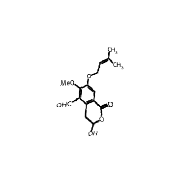 COc1c(OCC=C(C)C)cc2c(c1C=O)CC(O)OC2=O